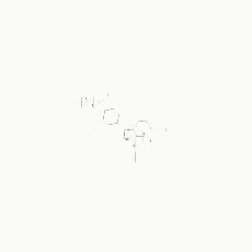 O=C1NCCOc2cc(-c3c[nH]c4nc(OC(F)F)ccc34)ccc21